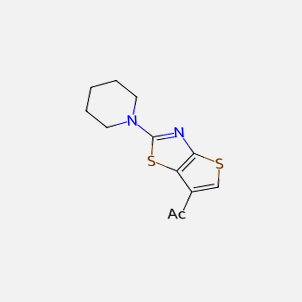 CC(=O)c1csc2nc(N3CCCCC3)sc12